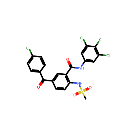 CS(=O)(=O)Nc1ccc(C(=O)c2ccc(Cl)cc2)cc1C(=O)Nc1cc(Cl)c(Cl)c(Cl)c1